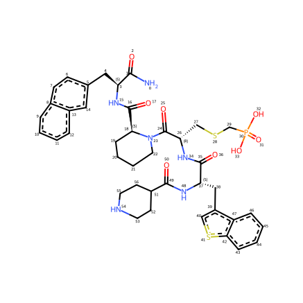 NC(=O)[C@H](Cc1ccc2ccccc2c1)NC(=O)[C@@H]1CCCCN1C(=O)[C@H](CSCP(=O)(O)O)NC(=O)[C@H](Cc1csc2ccccc12)NC(=O)C1CCNCC1